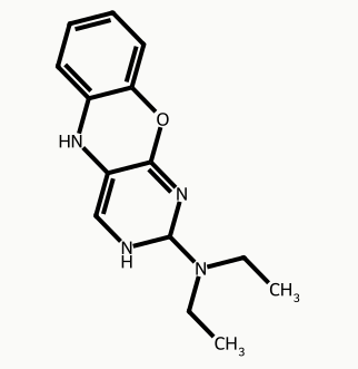 CCN(CC)C1N=C2Oc3ccccc3NC2=CN1